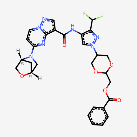 O=C(OCC1OCC(n2cc(NC(=O)c3cnn4ccc(N5C[C@H]6C[C@@H]5CO6)nc34)c(C(F)F)n2)CO1)c1ccccc1